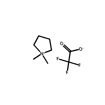 C[N+]1(C)CCCC1.O=C([O-])C(F)(F)F